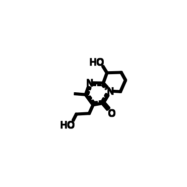 Cc1nc2n(c(=O)c1CCO)CCCC2O